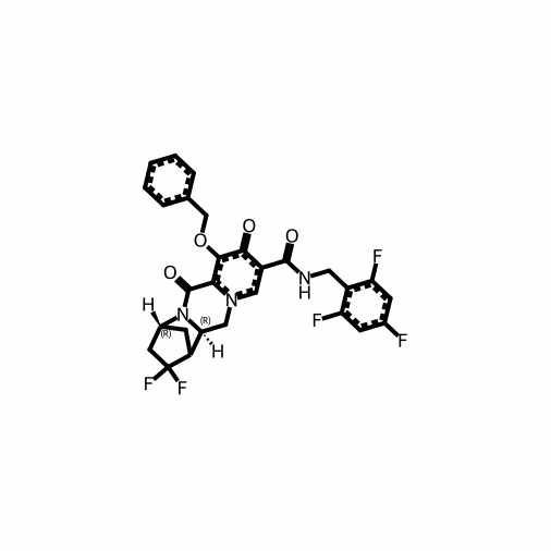 O=C(NCc1c(F)cc(F)cc1F)c1cn2c(c(OCc3ccccc3)c1=O)C(=O)N1[C@@H]3CC([C@@H]1C2)C(F)(F)C3